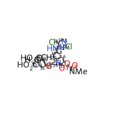 CNC(=O)COc1cc2cc(Nc3nc(Cl)ncc3Cl)ccc2n(CCOC2=CC(C)(C(=O)O)C(C)(C(=O)O)C=C2)c1=O